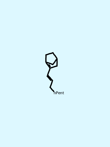 CCCCCC/C=C/C1=C2CCC(C1)C2